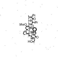 CC[C@H](C)[C@@H]([C@@H](CC(=O)N1CCC[C@H]1[C@H](OC)[C@@H](C)C(=O)N[C@@H](Cc1ccccc1)C(=O)NC[C@H](C)O)OC)N(C)C(=O)[C@@H](NC(=O)[C@H](C(C)C)N(C)C)C(C)C